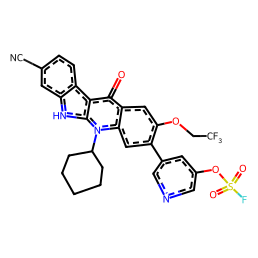 N#Cc1ccc2c(c1)[nH]c1c2c(=O)c2cc(OCC(F)(F)F)c(-c3cncc(OS(=O)(=O)F)c3)cc2n1C1CCCCC1